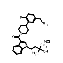 CC(C)(O)CCn1cc(C(=O)N2CCC(c3cc(CN)ccc3F)CC2)c2ccccc21.Cl